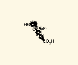 CCCSc1nc(N2CC3C(C2)C3C(=O)O)ccc1C(=O)NC1C2CC3CC1CC(O)(C3)C2